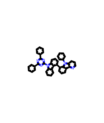 c1ccc(-c2nc(-c3ccccc3)nc(-n3c4ccccc4c4c(-c5cccc6c7ncccc7n(-c7ccccc7)c56)cccc43)n2)cc1